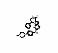 CN1CCN(c2ccc(Nc3ncc4cc5n(c4n3)C(c3ccccc3)CNC5=O)nc2)CC1